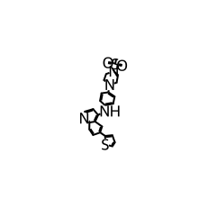 CS(=O)(=O)N1CCN(c2ccc(Nc3ccnc4ccc(-c5cccs5)cc34)cc2)CC1